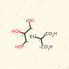 CCC(C(=O)O)C(=O)O.OCC(O)CO